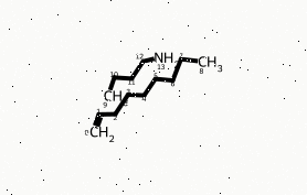 C=CCCCCCCC.CCCCN